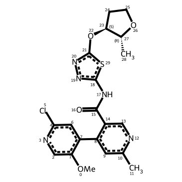 COc1cnc(Cl)cc1-c1cc(C)ncc1C(=O)Nc1nnc(O[C@H]2CCO[C@@H]2C)s1